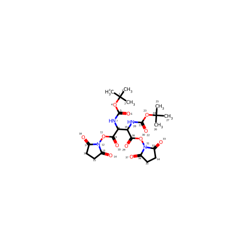 CC(C)(C)OC(=O)NC(C(=O)ON1C(=O)CCC1=O)C(NC(=O)OC(C)(C)C)C(=O)ON1C(=O)CCC1=O